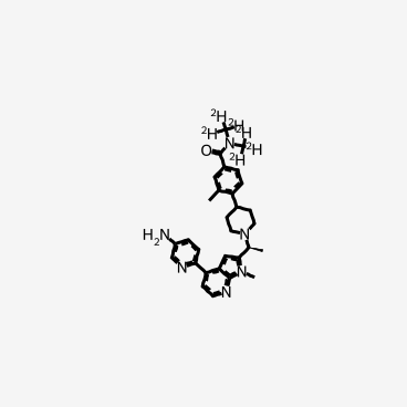 [2H]C([2H])([2H])N(C(=O)c1ccc(C2CCN([C@@H](C)c3cc4c(-c5ccc(N)cn5)ccnc4n3C)CC2)c(C)c1)C([2H])([2H])[2H]